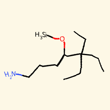 CCC(CC)(CC)C(CCCN)O[SiH3]